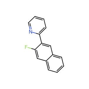 Fc1cc2ccccc2cc1-c1ccccn1